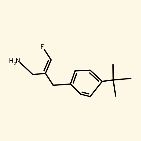 CC(C)(C)c1ccc(CC(=CF)CN)cc1